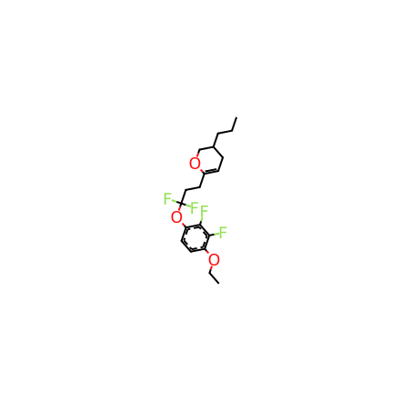 CCCC1CC=C(CCC(F)(F)Oc2ccc(OCC)c(F)c2F)OC1